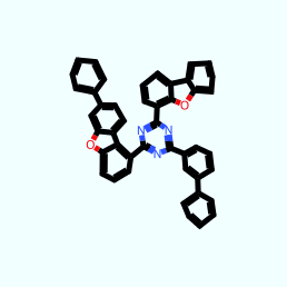 c1ccc(-c2cccc(-c3nc(-c4cccc5c4oc4ccccc45)nc(-c4cccc5oc6cc(-c7ccccc7)ccc6c45)n3)c2)cc1